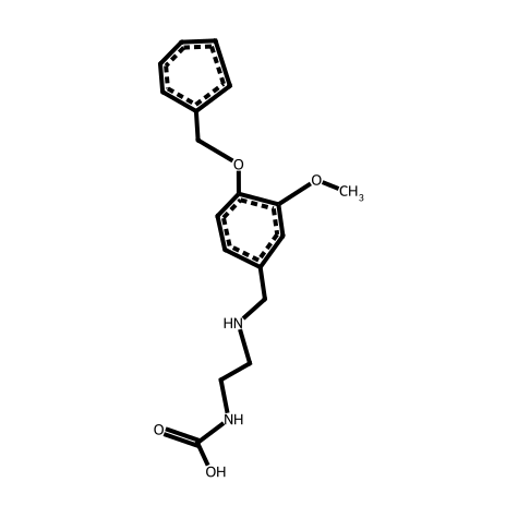 COc1cc(CNCCNC(=O)O)ccc1OCc1ccccc1